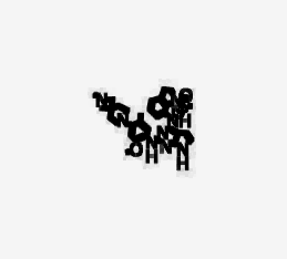 COc1cc(N2CCC3(CC2)CN(C)C3)c(C)cc1Nc1nc(Nc2cccc3c2N(S(C)(=O)=O)CC3)c2cc[nH]c2n1